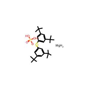 CC(C)(C)c1cc([SH](OP(=O)(O)O)c2cc(C(C)(C)C)cc(C(C)(C)C)c2)cc(C(C)(C)C)c1.[MgH2]